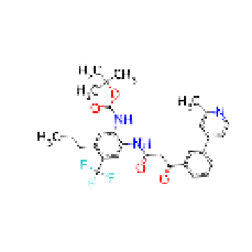 CCCc1cc(NC(=O)OC(C)(C)C)c(NC(=O)CC(=O)c2cccc(-c3ccnc(C)c3)c2)cc1C(F)(F)F